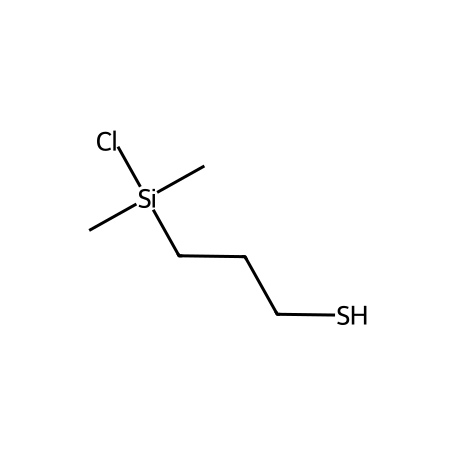 C[Si](C)(Cl)CCCS